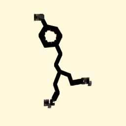 C=CCC(CC=C)CCc1ccc(O)cc1